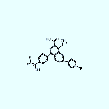 CCc1c(C(=O)O)cc(-c2ccc([C@@H](O)C(F)F)cc2)c2ccc(-c3ccc(F)cc3)cc12